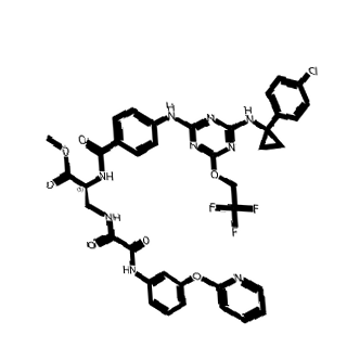 COC(=O)[C@H](CNC(=O)C(=O)Nc1cccc(Oc2ccccn2)c1)NC(=O)c1ccc(Nc2nc(NC3(c4ccc(Cl)cc4)CC3)nc(OCC(F)(F)F)n2)cc1